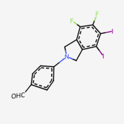 O=Cc1ccc(N2Cc3c(F)c(F)c(I)c(I)c3C2)cc1